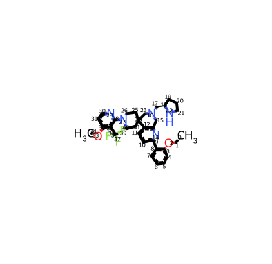 CCOc1ccccc1-c1ccc2c(n1)CN(C[C@H]1CCCN1)CC21CCN(c2nccc(OC)c2C(F)(F)F)CC1